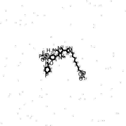 CC(Oc1cc(-c2nn(C)c3c(-c4cnn(CCCCCCCCCOS(C)(=O)=O)c4)cnc(N)c23)ccc1NS(=O)(=O)C(F)F)c1ccc(F)cc1